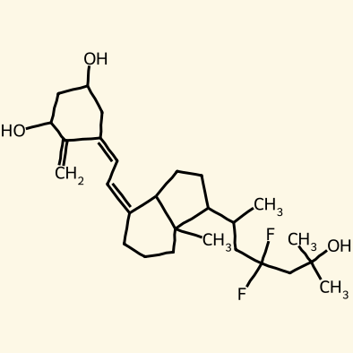 C=C1/C(=C\C=C2\CCCC3(C)C2CCC3C(C)CC(F)(F)CC(C)(C)O)CC(O)CC1O